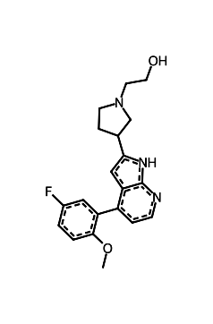 COc1ccc(F)cc1-c1ccnc2[nH]c(C3CCN(CCO)C3)cc12